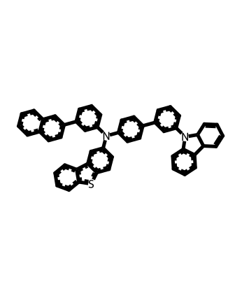 C1=CC2c3ccccc3N(c3cccc(-c4ccc(N(c5cccc(-c6ccc7ccccc7c6)c5)c5ccc6sc7ccccc7c6c5)cc4)c3)C2C=C1